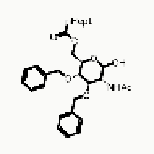 CCCCCCCC(=O)OC[C@H]1OC(O)[C@H](NC(C)=O)[C@@H](OCc2ccccc2)[C@@H]1OCc1ccccc1